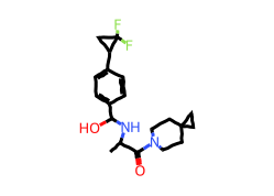 CC(NC(O)c1ccc(C2CC2(F)F)cc1)C(=O)N1CCC2(CC1)CC2